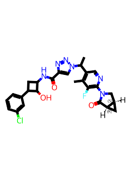 Cc1c(C(C)n2cc(C(=O)NC3CC(c4cccc(Cl)c4)C3O)nn2)cnc(N2C[C@H]3C[C@H]3C2=O)c1F